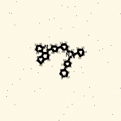 c1ccc(-c2ccc(-c3nc(-c4ccccc4)cc(-c4cccc(-c5ccc(-c6nc7ccccc7c7c6ccc6ccccc67)cc5)c4)n3)cc2)cc1